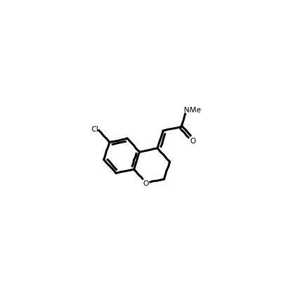 CNC(=O)C=C1CCOc2ccc(Cl)cc21